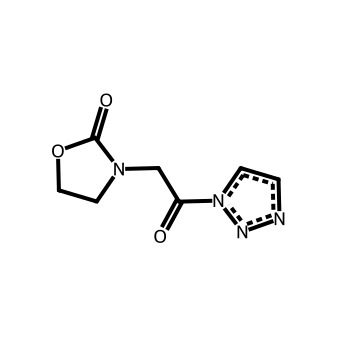 O=C1OCCN1CC(=O)n1ccnn1